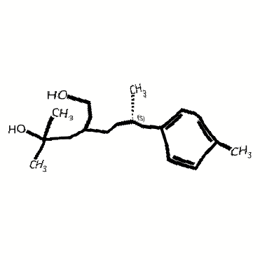 Cc1ccc([C@@H](C)CC(CO)CC(C)(C)O)cc1